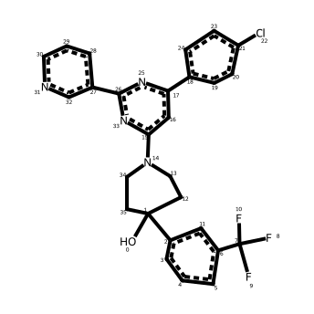 OC1(c2cccc(C(F)(F)F)c2)CCN(c2cc(-c3ccc(Cl)cc3)nc(-c3cccnc3)n2)CC1